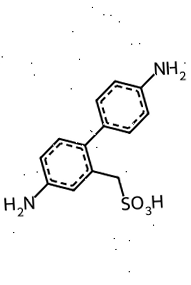 Nc1ccc(-c2ccc(N)cc2CS(=O)(=O)O)cc1